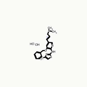 Cc1csc(Nc2ncc(/C=C/CN(C)C)cc2OCc2ccccc2)n1.Cl.Cl